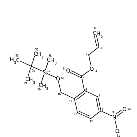 C=CCOC(=O)c1cc([N+](=O)[O-])ccc1CO[Si](C)(C)C(C)(C)C